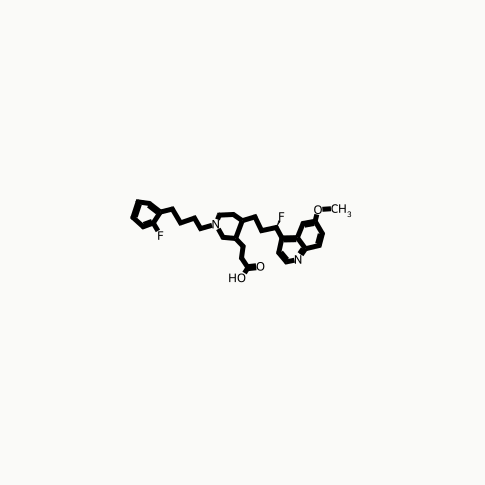 COc1ccc2nccc([C@@H](F)CCC3CCN(CCCCc4ccccc4F)CC3CCC(=O)O)c2c1